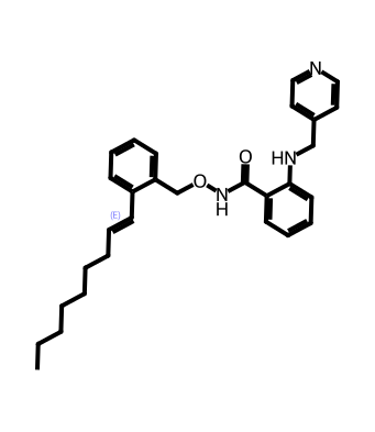 CCCCCCC/C=C/c1ccccc1CONC(=O)c1ccccc1NCc1ccncc1